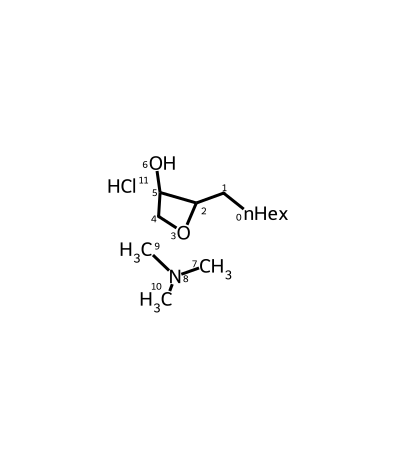 CCCCCCCC1OCC1O.CN(C)C.Cl